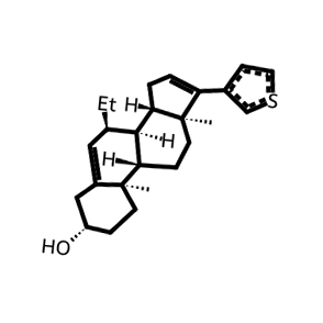 CC[C@@H]1C=C2C[C@@H](O)CC[C@]2(C)[C@H]2CC[C@]3(C)C(c4ccsc4)=CC[C@H]3[C@H]12